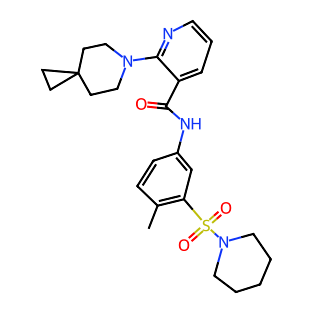 Cc1ccc(NC(=O)c2cccnc2N2CCC3(CC2)CC3)cc1S(=O)(=O)N1CCCCC1